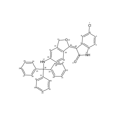 O=C1Nc2ccc(Cl)cc2/C1=C1\OCc2cc(NC(c3ccccc3)(c3ccccc3)c3ccccc3)ccc21